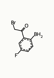 Bc1ccc(F)cc1C(=O)CBr